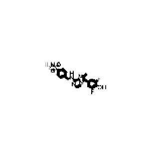 Cc1nc2c(NCc3ccc(S(N)(=O)=O)cc3)nccn2c1-c1cc(F)c(O)c(F)c1